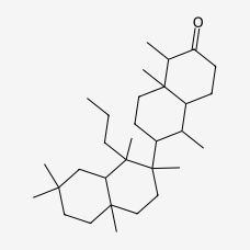 CCCC1(C)C2CC(C)(C)CCC2(C)CCC1(C)C1CCC2(C)C(C)C(=O)CCC2C1C